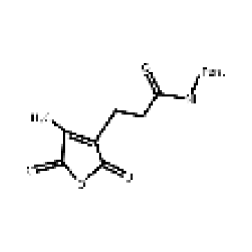 CCCC(C)NC(=O)CCC1=C(C)C(=O)OC1=O